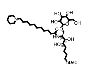 CCCCCCCCCCCCCC[C@@H](O)[C@@H](O)[C@H](COC1OC(CO)C(O)C(O)C1O)NC(=O)CCCCCCCCCCN1CCCCC1